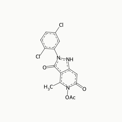 CC(=O)On1c(C)c2c(=O)n(-c3cc(Cl)ccc3Cl)[nH]c2cc1=O